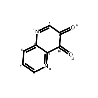 O=C1C=Nc2cccnc2C1=O